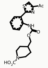 CC(=O)c1csc(-c2ccccc2NC(=O)OCC2CCN(C(=O)O)CC2)n1